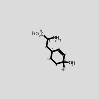 NC(CC1C=CC(O)(F)CC1)C(=O)O